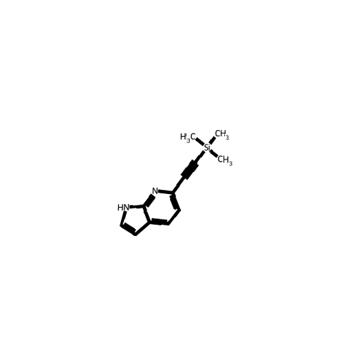 C[Si](C)(C)C#Cc1ccc2cc[nH]c2n1